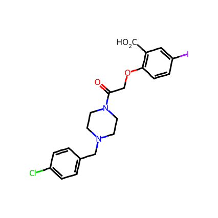 O=C(O)c1cc(I)ccc1OCC(=O)N1CCN(Cc2ccc(Cl)cc2)CC1